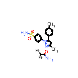 CCC(CC)C(N)=O.Cc1ccc(-c2cc(C(F)(F)F)nn2-c2ccc(S(N)(=O)=O)cc2)cc1